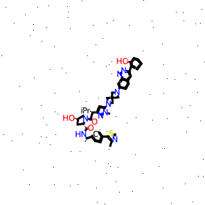 Cc1ncsc1-c1ccc([C@H](C)NC(=O)[C@@H]2C[C@@H](O)CN2C(=O)[C@@H](c2cc(N3CC4(CN(c5ccc6cc(-c7ccccc7O)nnc6c5)C4)C3)n(C)n2)C(C)C)cc1